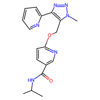 CC(C)NC(=O)c1ccc(OCc2c(-c3ccccn3)nnn2C)nc1